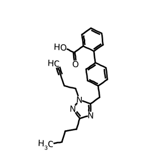 C#CCCn1nc(CCCC)nc1Cc1ccc(-c2ccccc2C(=O)O)cc1